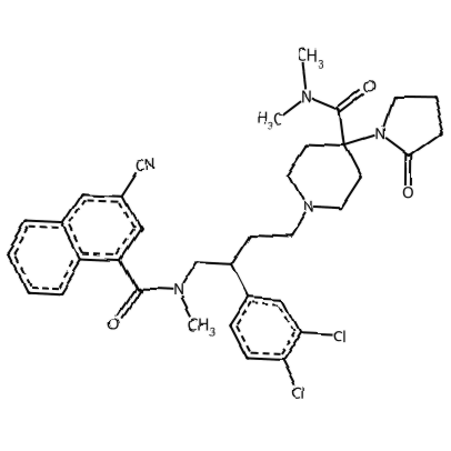 CN(C)C(=O)C1(N2CCCC2=O)CCN(CCC(CN(C)C(=O)c2cc(C#N)cc3ccccc23)c2ccc(Cl)c(Cl)c2)CC1